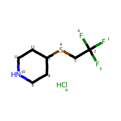 Cl.FC(F)(F)CSC1CCNCC1